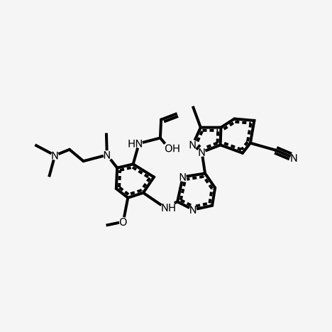 C=CC(O)Nc1cc(Nc2nccc(-n3nc(C)c4ccc(C#N)cc43)n2)c(OC)cc1N(C)CCN(C)C